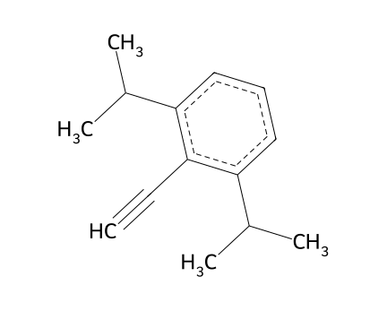 C#Cc1c(C(C)C)cccc1C(C)C